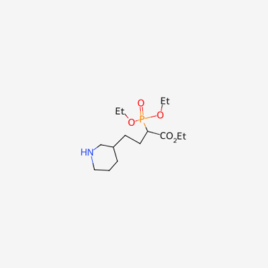 CCOC(=O)C(CCC1CCCNC1)P(=O)(OCC)OCC